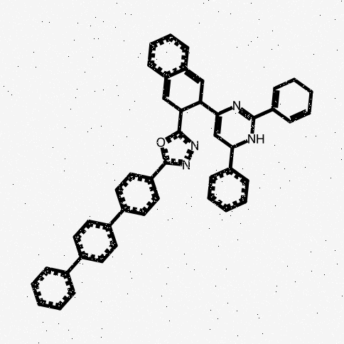 C1=CC(C2=NC(C3C=c4ccccc4=CC3c3nnc(-c4ccc(-c5ccc(-c6ccccc6)cc5)cc4)o3)=CC(c3ccccc3)N2)=CCC1